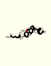 C[C@]12CC[C@H]3[C@@H](CC[C@]4(O)C[C@@H](OC(=O)CCCC(=O)O)CC[C@]34C=O)[C@@]1(O)CC[C@@H]2c1ccc(=O)oc1